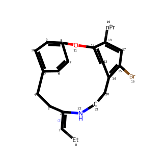 CC/C=C1/CCc2ccc(cc2)Oc2cc(c(Br)cc2CCC)CCN1